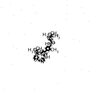 Cc1cc(-c2ccnc(Nc3cnn(C[C@@H]4CN(C(=O)OC(C)(C)C)CCO4)c3)n2)ccc1CNC(=O)c1cnc(C(C)(C)C)s1